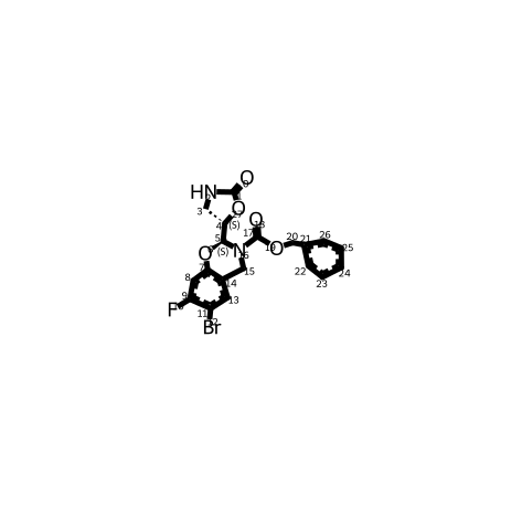 O=C1NC[C@@H]([C@@H]2Oc3cc(F)c(Br)cc3CN2C(=O)OCc2ccccc2)O1